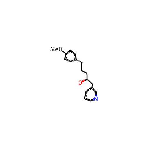 COc1ccc(CCCC(=O)Cc2cccnc2)cc1